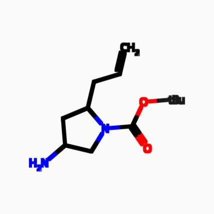 C=CCC1CC(N)CN1C(=O)OC(C)(C)C